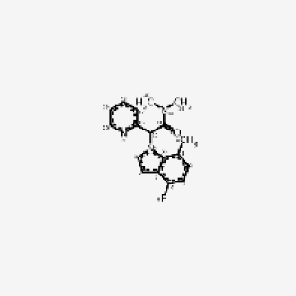 Cc1ccc(F)c2ccn(C(C(=O)N(C)C)c3ccccn3)c12